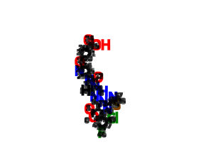 COC(=O)C1=C(CN2CCN3C(=O)N(c4ccc(Oc5ccc(C(=O)O)cc5)nc4)C[C@@H]3C2)NC(c2nccs2)=N[C@H]1c1ccc(F)cc1Cl